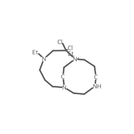 CCN1CCCN2CCNCCC[N+](CC)(CC2)C(Cl)(Cl)C1